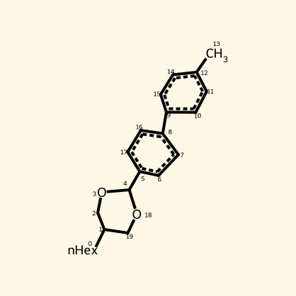 CCCCCCC1COC(c2ccc(-c3ccc(C)cc3)cc2)OC1